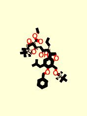 CCC[C@H](c1coc2c(CO[Si](C)(C)C(C)(C)C)c(OCc3ccccc3)c(CC(C)C)cc12)[C@H](O)C[C@@H](O[Si](C)(C)C(C)(C)C)[C@]1(C(=O)OCC)O[C@H]1CC